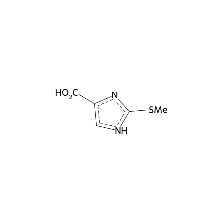 CSc1nc(C(=O)O)c[nH]1